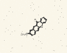 COc1ccc2cc3oc4ccccc4c(=O)c3cc2c1